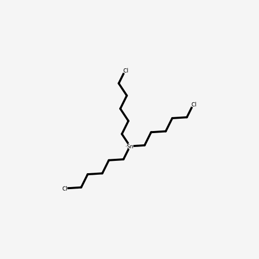 ClCCCC[CH2][Sn]([CH2]CCCCCl)[CH2]CCCCCl